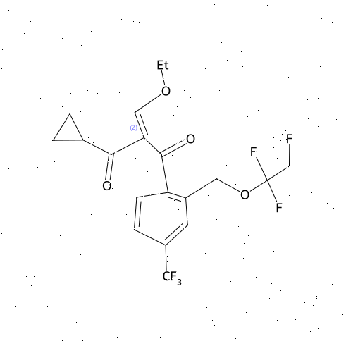 CCO/C=C(\C(=O)c1ccc(C(F)(F)F)cc1COC(F)(F)CF)C(=O)C1CC1